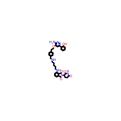 Nc1nnc(-c2ccccc2O)cc1OCCc1ccc(CNCCCCCNc2cccc3c2C(=O)N(C2CCC(=O)NC2=O)C3=O)cc1